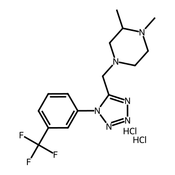 CC1CN(Cc2nnnn2-c2cccc(C(F)(F)F)c2)CCN1C.Cl.Cl